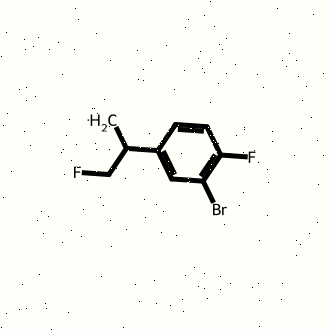 [CH2]C(CF)c1ccc(F)c(Br)c1